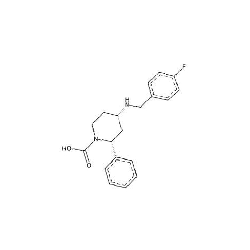 O=C(O)N1CC[C@H](NCc2ccc(F)cc2)C[C@@H]1c1ccccc1